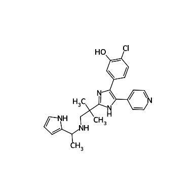 CC(NCC(C)(C)c1nc(-c2ccc(Cl)c(O)c2)c(-c2ccncc2)[nH]1)c1ccc[nH]1